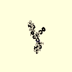 C#C/C=c1/[nH]c([C@@H]2CCCN2C(=O)C(NC(=O)OC)C(C)C)n/c1=C/C[C@H]1CC[C@H](c2cc3nc([C@@H]4CCCN4C(=O)[C@@H](NC(=O)OC)C(C)C)[nH]c3cc2F)N1c1cnc(N2CCC(c3ccccc3)CC2)nc1